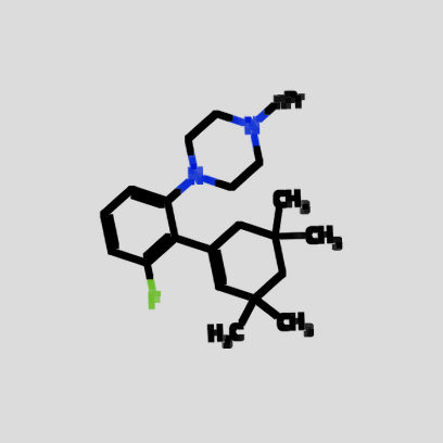 CCCN1CCN(c2cccc(F)c2C2=CC(C)(C)CC(C)(C)C2)CC1